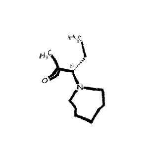 CC[C@@H](C(C)=O)N1CCCCC1